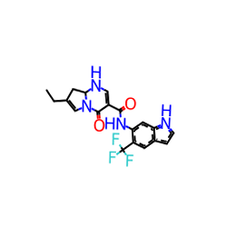 CCC1=CN2C(=O)C(C(=O)Nc3cc4[nH]ccc4cc3C(F)(F)F)=CNC2C1